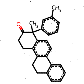 Cc1cccc(C2(C)C(=O)CCc3c2ccc2c3CCc3ccccc3-2)c1